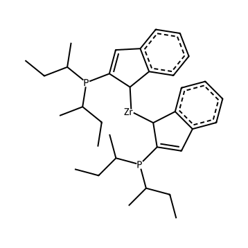 CCC(C)P(C1=Cc2ccccc2[CH]1[Zr][CH]1C(P(C(C)CC)C(C)CC)=Cc2ccccc21)C(C)CC